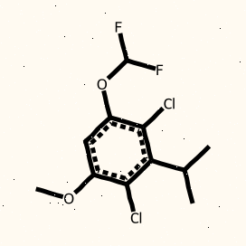 COc1cc(OC(F)F)c(Cl)c(C(C)C)c1Cl